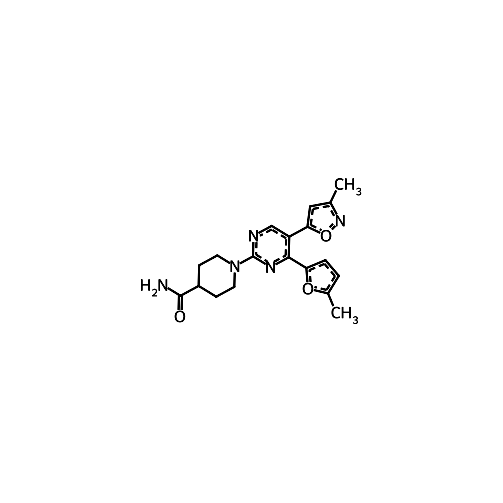 Cc1cc(-c2cnc(N3CCC(C(N)=O)CC3)nc2-c2ccc(C)o2)on1